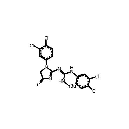 CCCCN/C(=N\C1=NC(=O)CN1c1ccc(Cl)c(Cl)c1)Nc1ccc(Cl)c(Cl)c1